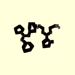 CCOP(OCC)c1ccc[nH]1.c1ccc(OP(Oc2ccccc2)N2CCCC2)cc1